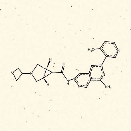 Cc1ccncc1-c1cc2cc(NC(=O)[C@H]3[C@@H]4CN(C5COC5)C[C@@H]43)ncc2c(N)n1